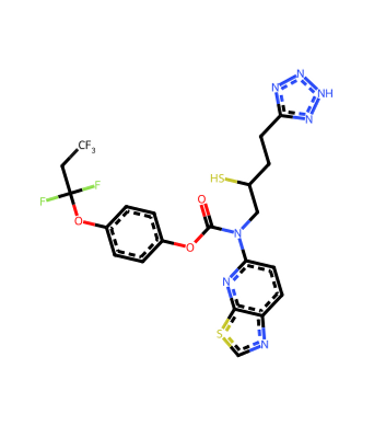 O=C(Oc1ccc(OC(F)(F)CC(F)(F)F)cc1)N(CC(S)CCc1nn[nH]n1)c1ccc2ncsc2n1